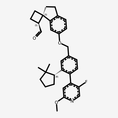 COc1cc(-c2ccc(COc3ccc4c(c3)[C@]3(CC4)CC[C@@H]3C=O)cc2[C@@H]2CCCC2(C)C)c(F)cn1